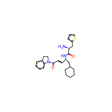 N[C@@H](Cc1cccs1)C(=O)N[C@H](C=CC(=O)N1CCc2ccccc21)CC1CCCCC1